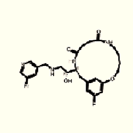 CCc1cncc(CNC[C@@H](O)[C@@H]2Cc3cc(F)cc(c3)OCCCCNC(=O)CCC(=O)N2)c1